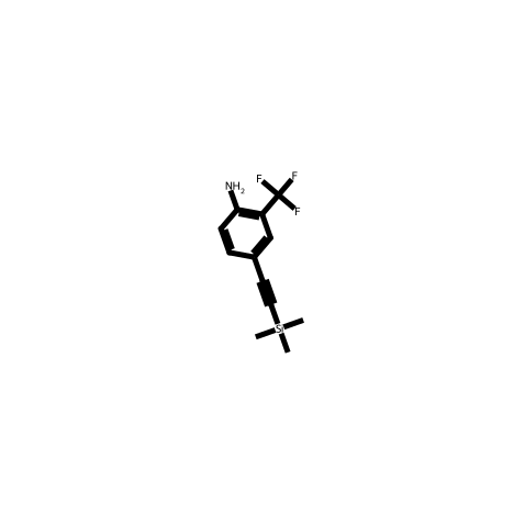 C[Si](C)(C)C#Cc1ccc(N)c(C(F)(F)F)c1